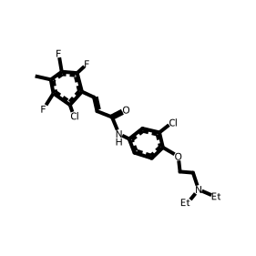 CCN(CC)CCOc1ccc(NC(=O)C=Cc2c(F)c(F)c(C)c(F)c2Cl)cc1Cl